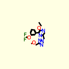 CCOc1ncc(Cn2cnc(COC)n2)nc1-c1cccc(OC(F)F)c1